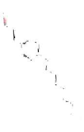 CCCCCCCCc1ccc(/C=C/C=O)cc1